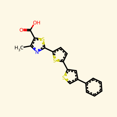 Cc1nc(-c2ccc(-c3cc(-c4ccccc4)cs3)s2)sc1C(=O)O